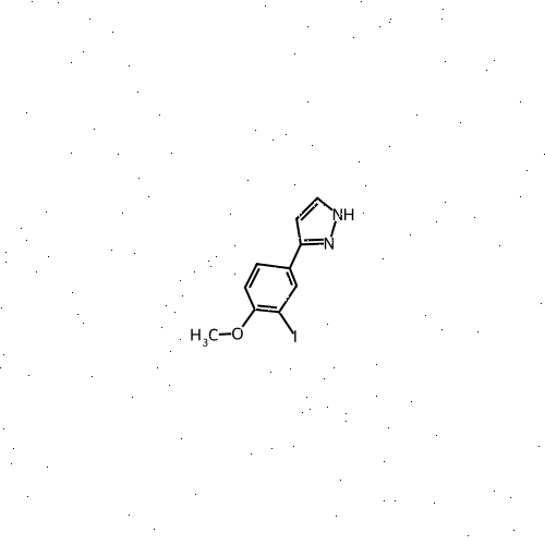 COc1ccc(-c2cc[nH]n2)cc1I